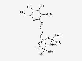 CCCCCCCC(C)(CCCCCC)OP(=O)(OC(C)(C)CCCC)SCCOC1OC(CO)C(O)C(O)C1NC(C)=O